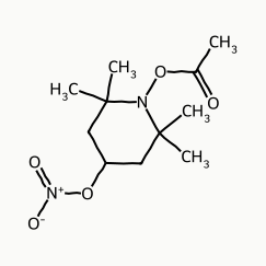 CC(=O)ON1C(C)(C)CC(O[N+](=O)[O-])CC1(C)C